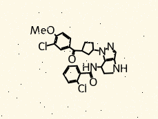 COc1ccc(C(=O)C2CCC(n3ncc4c3C(NC(=O)c3ccccc3Cl)CCN4)C2)cc1Cl